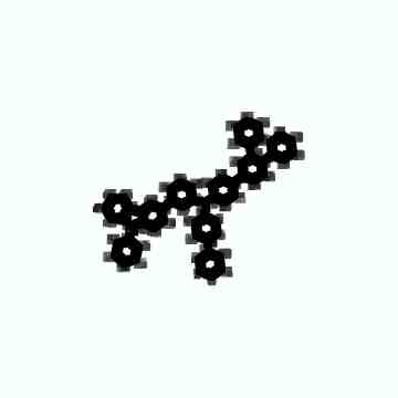 c1ccc(-c2ccc(N(c3ccc(-c4ccc(-c5ccccc5)c(-c5ccccc5)c4)cc3)c3cccc(-c4ccc5c(c4)c4ccccc4n5-c4ccccc4)c3)cc2)cc1